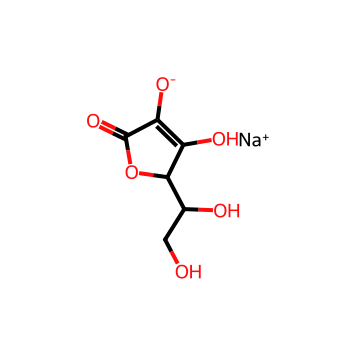 O=C1OC(C(O)CO)C(O)=C1[O-].[Na+]